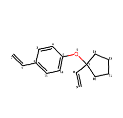 C=Cc1ccc(OC2(C=C)CCCC2)cc1